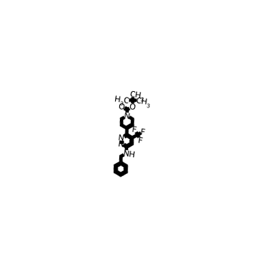 CC(C)(C)OC(=O)N1CC=C(c2nnc(NCc3ccccc3)cc2C(F)(F)F)CC1